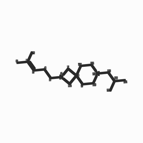 CC(C)=CCCN1CC2(CCN(CC(C)C)CC2)C1